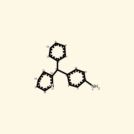 Nc1ccc(C(c2ccccc2)c2ccccn2)cc1